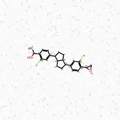 CCCC(O)c1ccc(C2CCC3C(c4ccc(C5CO5)c(F)c4)CCC23)cc1F